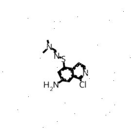 CN(C)/C=N/Sc1cc(N)cc2c(Cl)nccc12